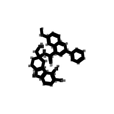 COc1ccc2nc(-c3ccccc3)cc(C(=O)NC3(CO)CCc4[nH]c5ccc(Cl)c(Cl)c5c4C3)c2c1